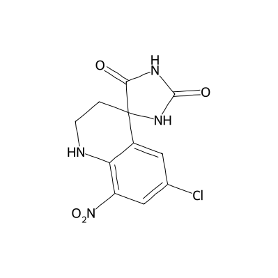 O=C1NC(=O)C2(CCNc3c([N+](=O)[O-])cc(Cl)cc32)N1